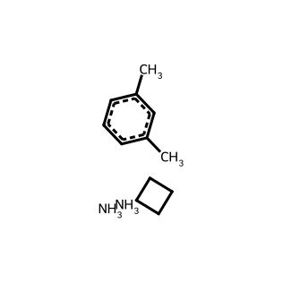 C1CCC1.Cc1cccc(C)c1.N.N